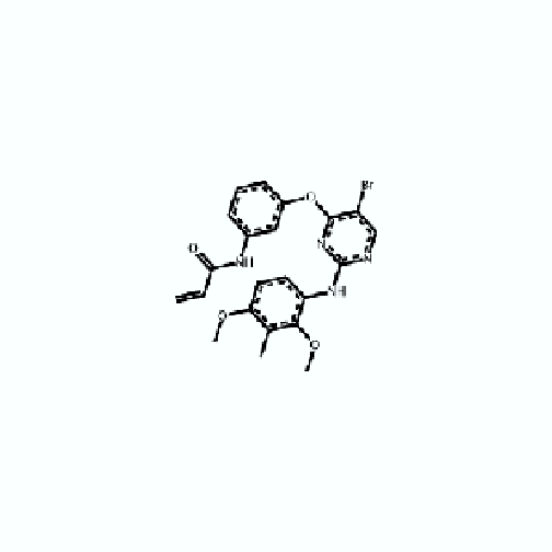 C=CC(=O)Nc1cccc(Oc2nc(Nc3ccc(OC)c(C)c3OC)ncc2Br)c1